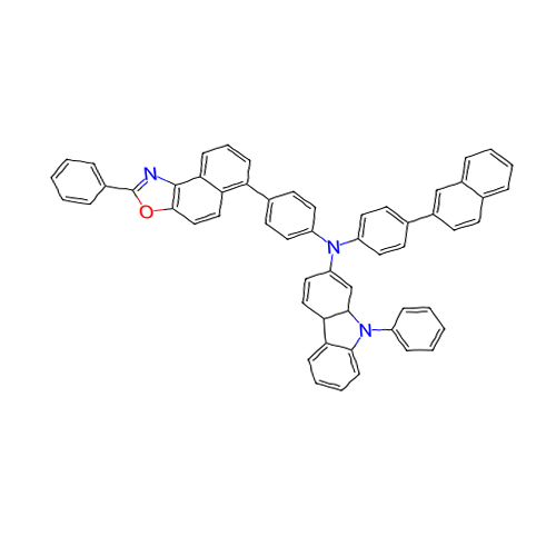 C1=CC2c3ccccc3N(c3ccccc3)C2C=C1N(c1ccc(-c2ccc3ccccc3c2)cc1)c1ccc(-c2cccc3c2ccc2oc(-c4ccccc4)nc23)cc1